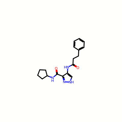 O=C(CCc1ccccc1)Nc1c[nH]nc1C(=O)NC1CCCC1